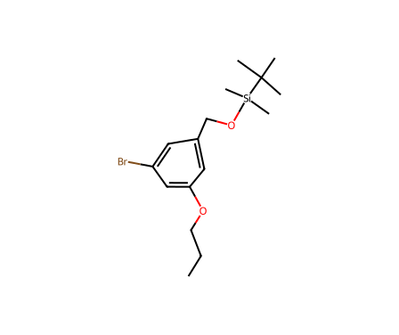 CCCOc1cc(Br)cc(CO[Si](C)(C)C(C)(C)C)c1